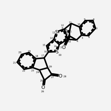 O=C1C(=O)C2c3ccccc3C1c1sc3cc(C4c5ccccc5C5C(=O)C(=O)C54)sc3c12